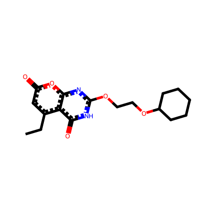 CCc1cc(=O)oc2nc(OCCOC3CCCCC3)[nH]c(=O)c12